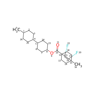 CC1CCC(C2CCC(OC(=O)C34CCC(C)(CC3)C(F)=C4F)CC2)CC1